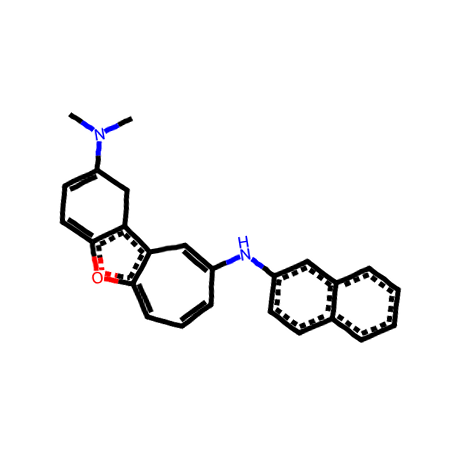 CN(C)C1=CC=c2oc3c(c2C1)C=C(Nc1ccc2ccccc2c1)C=CC=3